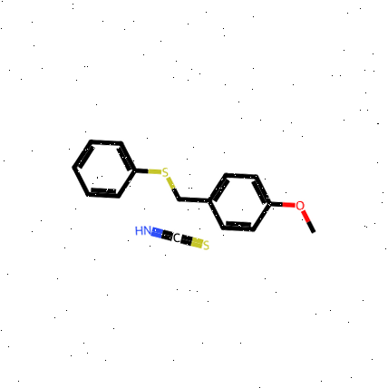 COc1ccc(CSc2ccccc2)cc1.N=C=S